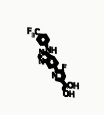 OC[C@@H](O)c1cnc(-c2ccc3c(Nc4ccc(C(F)(F)F)cc4)ncnc3c2)c(F)c1